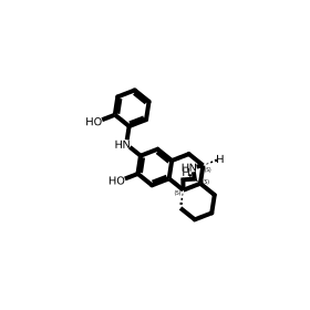 Oc1ccccc1Nc1cc2c(cc1O)[C@]13CCCC[C@@H]1[C@H](C2)NCC3